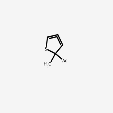 CC(=O)C1(C)C=C=CS1